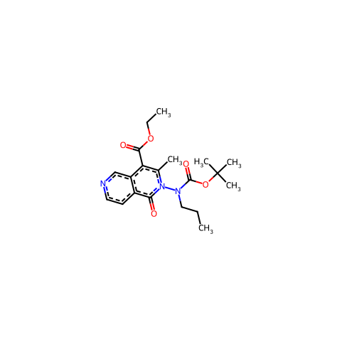 CCCN(C(=O)OC(C)(C)C)n1c(C)c(C(=O)OCC)c2cnccc2c1=O